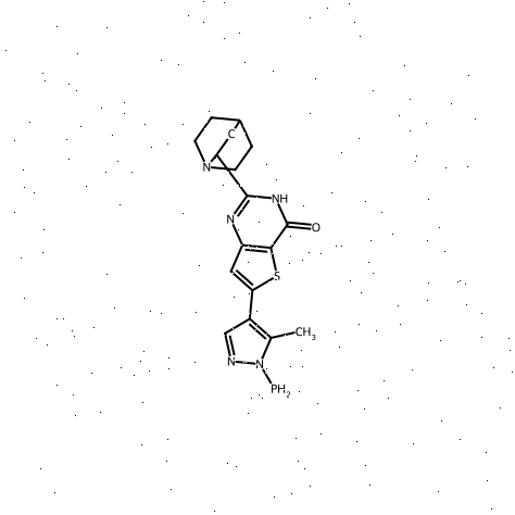 Cc1c(-c2cc3nc(C4CC5CCN4CC5)[nH]c(=O)c3s2)cnn1P